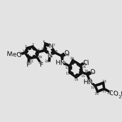 COc1ccc(-c2cnc(C(=O)Nc3ccc(C(=O)NC4CC(C(=O)O)C4)c(Cl)c3)n2C)c(F)c1F